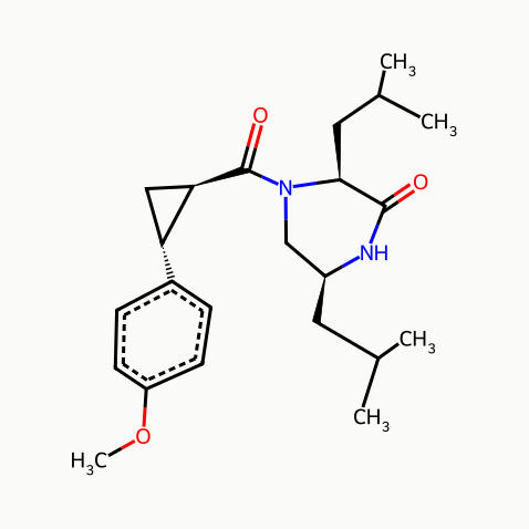 COc1ccc([C@@H]2C[C@H]2C(=O)N2C[C@H](CC(C)C)NC(=O)[C@@H]2CC(C)C)cc1